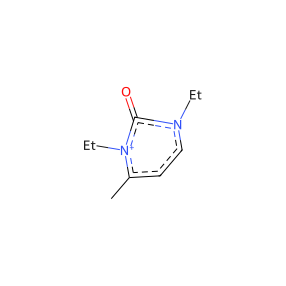 CCn1ccc(C)[n+](CC)c1=O